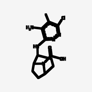 Cc1c(Cl)nnc(NC2CCC3CCC2N3C(=O)O)c1N